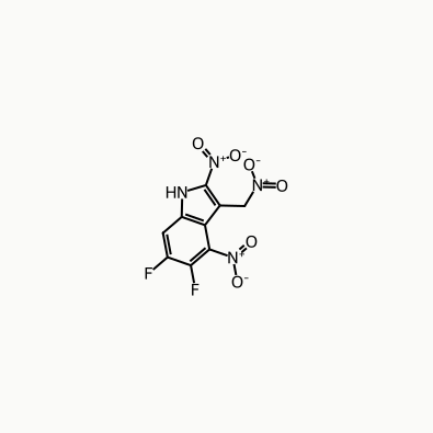 O=[N+]([O-])Cc1c([N+](=O)[O-])[nH]c2cc(F)c(F)c([N+](=O)[O-])c12